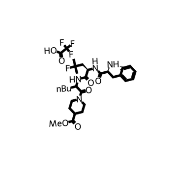 CCCCC(NC(=O)[C@@H](CC(C)(C)F)NC(=O)[C@H](N)Cc1ccccc1)C(=O)N1CCC(C(=O)OC)CC1.O=C(O)C(F)(F)F